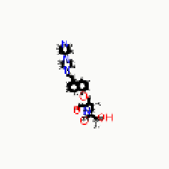 C[C@H]1C(COc2cccc3c(CCN4CCN(c5ccncc5)CC4)cccc23)=C(C=O)N2C(=O)[C@H]([C@@H](C)O)C12